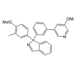 COc1cncc(-c2cccc(C3(c4ccc(OC)c(C)c4)N=Cc4ccccc43)c2)c1